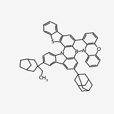 CCC1(c2ccc3c(c2)c2cc(C45CC6CC(CC(C6)C4)C5)cc4c2n3-c2c3c(cc5c2sc2ccccc25)-c2cccc5c2N(B34)c2ccccc2O5)CC2CCC(C2)C1